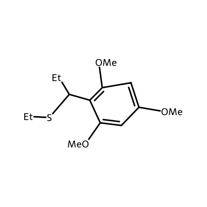 CCSC(CC)c1c(OC)cc(OC)cc1OC